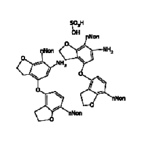 CCCCCCCCCc1ccc(Oc2cc(N)c(CCCCCCCCC)c3c2CCO3)c2c1OCC2.CCCCCCCCCc1ccc(Oc2cc(N)c(CCCCCCCCC)c3c2CCO3)c2c1OCC2.O=S(=O)(O)O